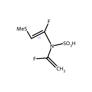 C=C(F)N(/C(F)=C/SC)S(=O)(=O)O